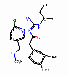 COc1ccc(CC(=O)N=C(N)N[C@H](C)CC(C)C)cc1OC.O=C(O)NCc1ccc(Cl)nc1